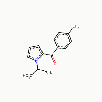 Cc1ccc(C(=O)c2cccn2C(C)C(=O)O)cc1